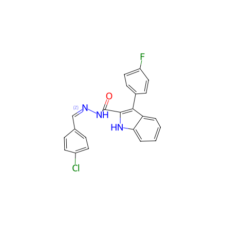 O=C(N/N=C\c1ccc(Cl)cc1)c1[nH]c2ccccc2c1-c1ccc(F)cc1